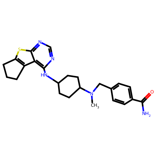 CN(Cc1ccc(C(N)=O)cc1)C1CCC(Nc2ncnc3sc4c(c23)CCC4)CC1